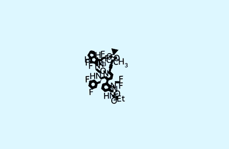 CCS(=O)(=O)Nc1nn(CC(F)F)c2c(-c3ccc(C#CC(C)(C)S(=O)(=O)C4CC4)nc3[C@H](Cc3cc(F)cc(F)c3)NC(=O)Cn3nc(C(F)F)c4c3C(F)(F)[C@@H]3CC#C[C@H]43)cccc12